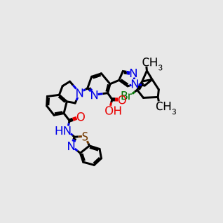 CC1CC(Br)=C2C(C)C2(Cn2cc(-c3ccc(N4CCc5cccc(C(=O)Nc6nc7ccccc7s6)c5C4)nc3C(=O)O)cn2)C1